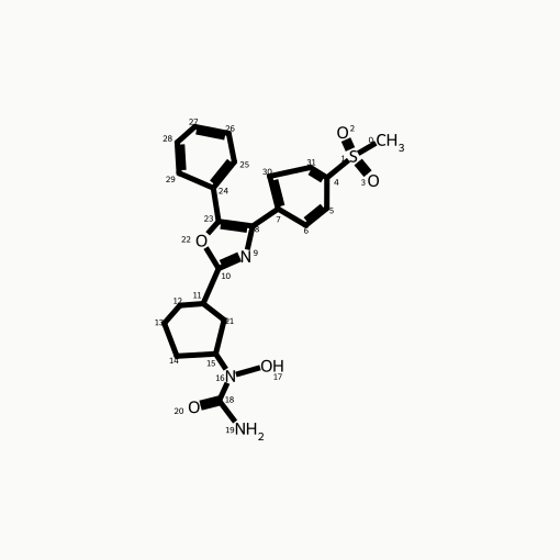 CS(=O)(=O)c1ccc(-c2nc(C3CCCC(N(O)C(N)=O)C3)oc2-c2ccccc2)cc1